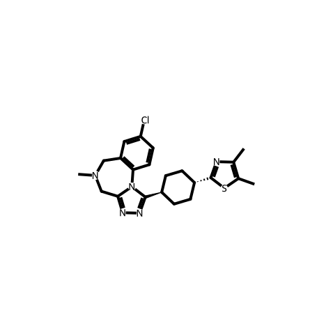 Cc1nc([C@H]2CC[C@H](c3nnc4n3-c3ccc(Cl)cc3CN(C)C4)CC2)sc1C